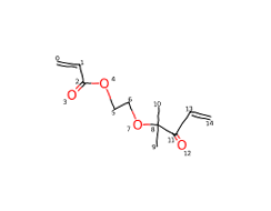 C=CC(=O)OCCOC(C)(C)C(=O)C=C